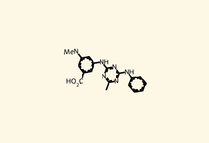 CNc1cc(Nc2nc(C)nc(Nc3ccccc3)n2)cc(C(=O)O)c1